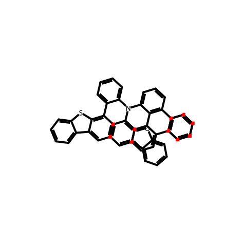 c1ccc(-c2ccccc2-c2c(-c3ccccc3)cccc2N(c2ccccc2-c2cccc3c2sc2ccccc23)c2cccc3c2oc2ccccc23)cc1